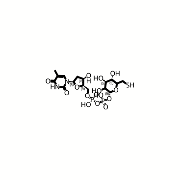 Cc1cn([C@H]2C[C@@H](O)[C@@H](COP(=O)(O)OP(=O)(O)O[C@H]3OC(CS)[C@@H](O)[C@H](O)C3O)O2)c(=O)[nH]c1=O